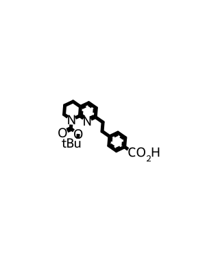 CC(C)(C)OC(=O)N1CCCc2ccc(CCc3ccc(C(=O)O)cc3)nc21